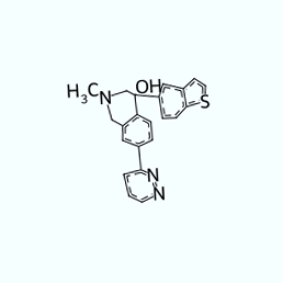 CN1Cc2cc(-c3cccnn3)ccc2C(O)(c2ccc3sccc3c2)C1